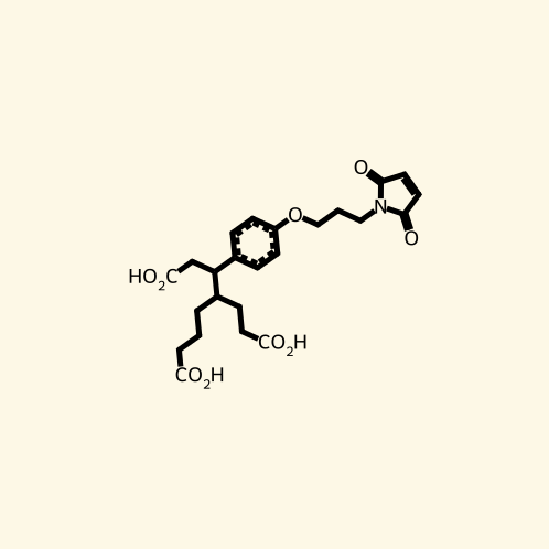 O=C(O)CCCC(CCC(=O)O)C(CC(=O)O)c1ccc(OCCCN2C(=O)C=CC2=O)cc1